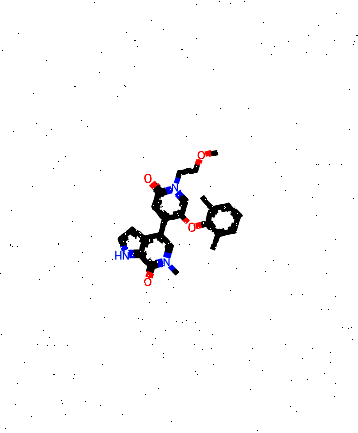 COCCn1cc(Oc2c(C)cccc2C)c(-c2cn(C)c(=O)c3[nH]ccc23)cc1=O